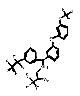 OC(CNC(c1cccc(Oc2cccc(SC(F)(F)F)c2)c1)c1cccc(C(F)(F)C(F)(F)F)c1)C(F)(F)F